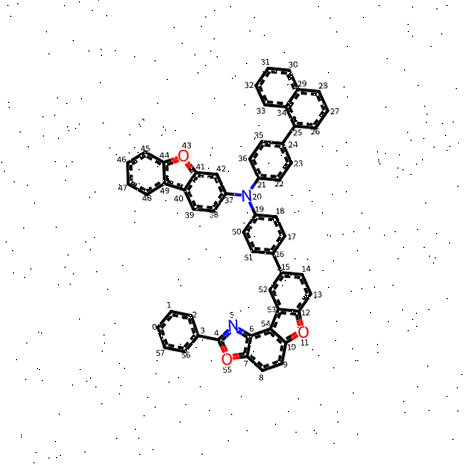 c1ccc(-c2nc3c(ccc4oc5ccc(-c6ccc(N(c7ccc(-c8cccc9ccccc89)cc7)c7ccc8c(c7)oc7ccccc78)cc6)cc5c43)o2)cc1